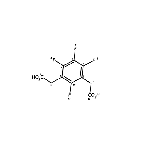 O=C(O)Cc1c(F)c(F)c(F)c(CC(=O)O)c1F